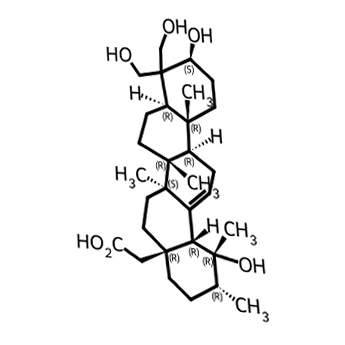 C[C@@H]1CC[C@]2(CC(=O)O)CC[C@]3(C)C(=CC[C@@H]4[C@@]5(C)CC[C@H](O)C(CO)(CO)[C@@H]5CC[C@]43C)[C@@H]2[C@]1(C)O